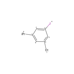 [CH2]C(C)c1cc(I)cc(CC)c1